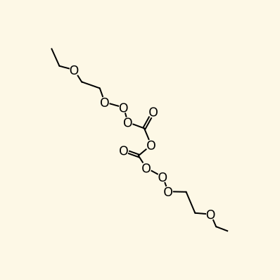 CCOCCOOOC(=O)OC(=O)OOOCCOCC